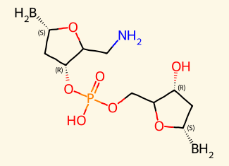 B[C@H]1C[C@@H](O)C(COP(=O)(O)O[C@@H]2C[C@H](B)OC2CN)O1